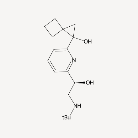 CC(C)(C)NC[C@H](O)c1cccc(C2(O)CC23CCC3)n1